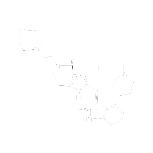 Cc1c(C=C2C(=O)Nc3cccc(C4CCNCC4)c32)[nH]c2c1C(=O)N(CCN1CCOCC1)CC2